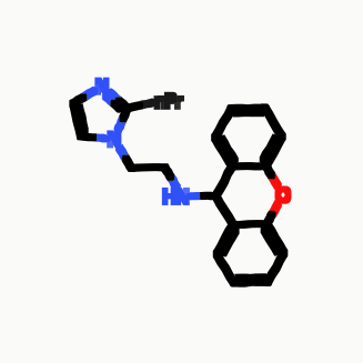 CCCc1nccn1CCNC1c2ccccc2Oc2ccccc21